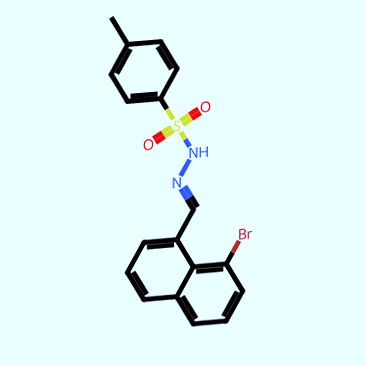 Cc1ccc(S(=O)(=O)NN=Cc2cccc3cccc(Br)c23)cc1